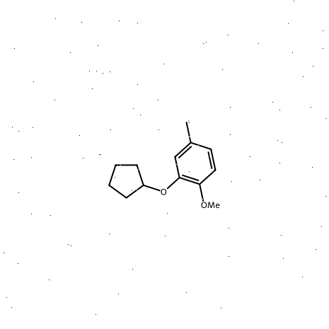 [CH]c1ccc(OC)c(OC2CCCC2)c1